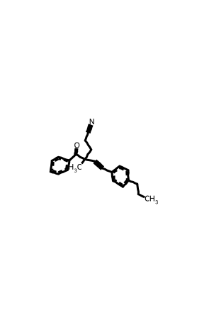 CCCc1ccc(C#CC(C)(CCC#N)C(=O)c2ccccc2)cc1